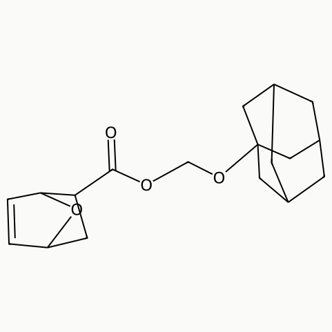 O=C(OCOC12CC3CC(CC(C3)C1)C2)C1CC2C=CC1O2